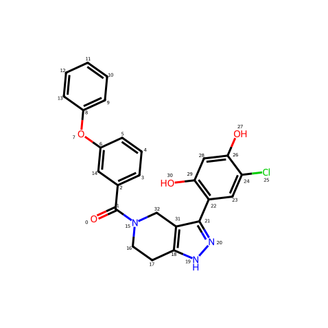 O=C(c1cccc(Oc2ccccc2)c1)N1CCc2[nH]nc(-c3cc(Cl)c(O)cc3O)c2C1